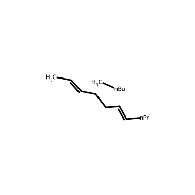 CC=CCCC=CCCC.CCCCC